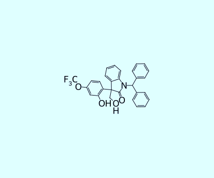 O=C1N(C(c2ccccc2)c2ccccc2)c2ccccc2C1(CO)c1ccc(OC(F)(F)F)cc1O